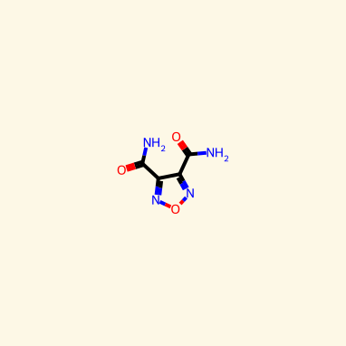 NC(=O)c1nonc1C(N)=O